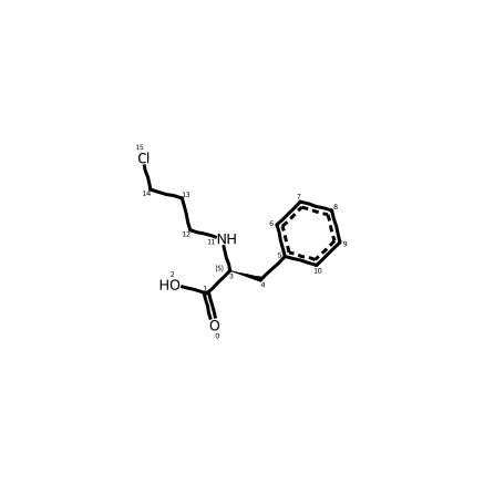 O=C(O)[C@H](Cc1ccccc1)NCCCCl